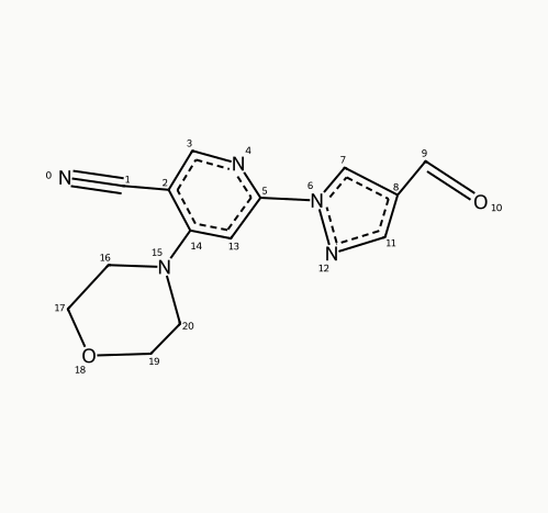 N#Cc1cnc(-n2cc(C=O)cn2)cc1N1CCOCC1